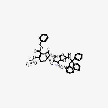 CO/N=C(/C(=O)N[C@@H]1C(=O)N2C(C(=O)OCc3ccccc3)=C(OS(=O)(=O)C(F)(F)F)CC[C@H]12)c1csc(NC(Cc2ccccc2)(c2ccccc2)c2ccccc2)n1